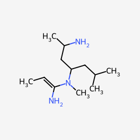 C/C=C(\N)N(C)C(CC(C)C)CC(C)N